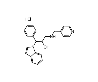 Cl.OC(CNCc1ccncc1)C(c1ccccc1)n1ccc2ccccc21